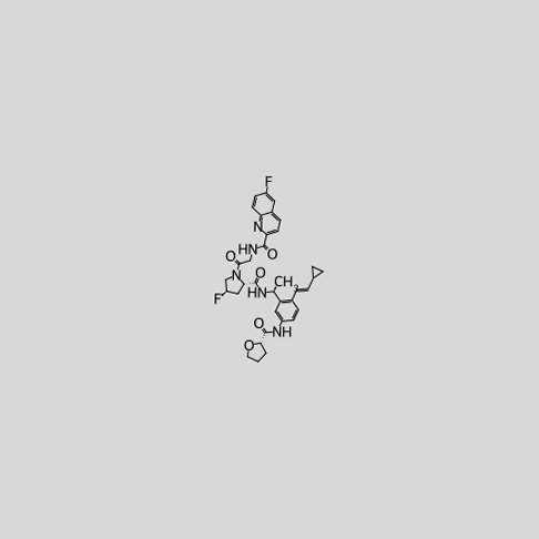 C[C@H](NC(=O)[C@@H]1C[C@@H](F)CN1C(=O)CNC(=O)c1ccc2cc(F)ccc2n1)c1cc(NC(=O)[C@@H]2CCCO2)ccc1/C=C/C1CC1